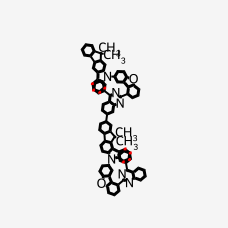 CC1(C)c2ccccc2-c2cc3c4ccccc4n(-c4ccc5oc6cccc(-c7nc(-c8ccccc8)c8ccc(-c9ccc%10c(c9)C(C)(C)c9c-%10ccc%10c9c9ccccc9n%10-c9ccc%10oc%11cccc(-c%12nc(-c%13ccccc%13)c%13ccccc%13n%12)c%11c%10c9)cc8n7)c6c5c4)c3cc21